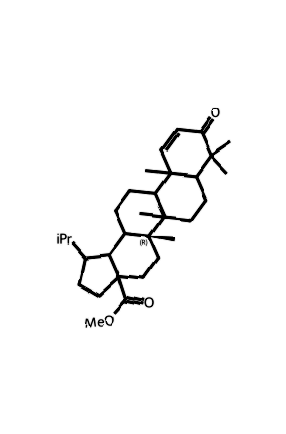 COC(=O)C12CCC(C(C)C)C1C1CCC3C4(C)C=CC(=O)C(C)(C)C4CCC3(C)[C@]1(C)CC2